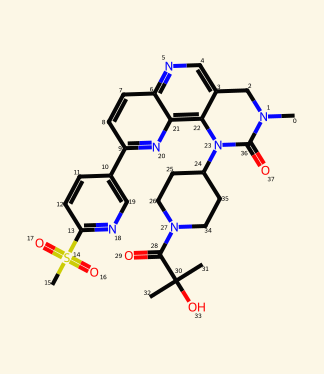 CN1Cc2cnc3ccc(-c4ccc(S(C)(=O)=O)nc4)nc3c2N(C2CCN(C(=O)C(C)(C)O)CC2)C1=O